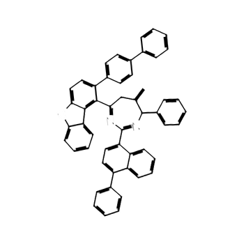 C=C1CC(c2c(-c3ccc(-c4ccccc4)cc3)ccc3oc4ccccc4c23)=NC(c2ccc(-c3ccccc3)c3ccccc23)=NC1c1ccccc1